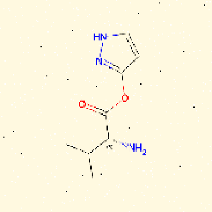 CC(C)[C@@H](N)C(=O)Oc1cc[nH]n1